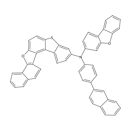 c1ccc2cc(-c3ccc(N(c4ccc5c(c4)oc4ccccc45)c4ccc5c(c4)sc4ccc6oc7c8ccccc8ccc7c6c45)cc3)ccc2c1